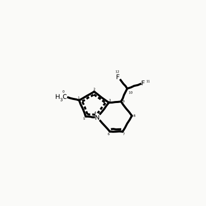 Cc1cc2n(c1)C=CCC2C(F)F